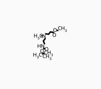 CCOC(=O)CCCN(C)CCCNC(=O)OC(C)(C)C